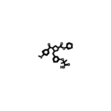 CSc1ccc(C(=O)C2CN(C(=O)Oc3ccccc3)CC2Cc2cccc(OC(C)(C)C(=O)O)c2)cc1